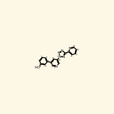 Oc1cccc(-c2cncc(-n3nnc(-c4ccccn4)n3)c2)c1